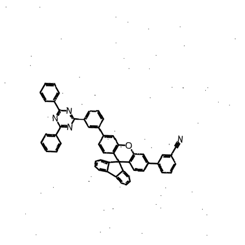 N#Cc1cccc(-c2ccc3c(c2)Oc2cc(-c4cccc(-c5nc(-c6ccccc6)nc(-c6ccccc6)n5)c4)ccc2C32c3ccccc3-c3ccccc32)c1